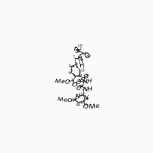 COC(=O)c1ccc(CNS(C)(=O)=O)cc1S(=O)(=O)NC(=O)Nc1nc(OC)cc(OC)n1